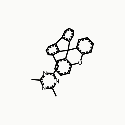 Cc1nc(C)nc(Cc2cccc3c2C2(c4ccccc4Oc4ccccc42)c2ccccc2-3)n1